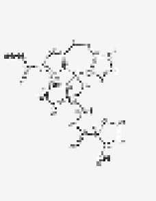 C=C(NC)c1cc2c(s1)CCc1sccc1C2(CCNCC(=C)N1CCCC1C#N)c1nn[nH]n1